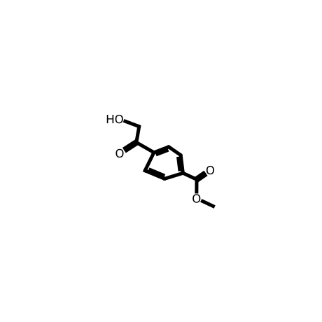 COC(=O)c1ccc(C(=O)CO)cc1